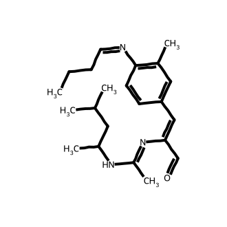 CCC/C=N\c1ccc(/C=C(C=O)\N=C(/C)NC(C)CC(C)C)cc1C